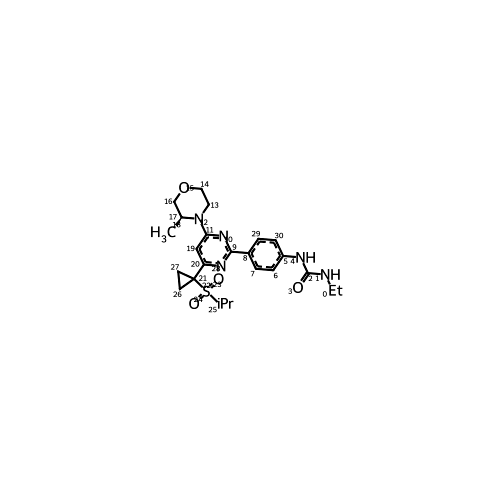 CCNC(=O)Nc1ccc(-c2nc(N3CCOC[C@@H]3C)cc(C3(S(=O)(=O)C(C)C)CC3)n2)cc1